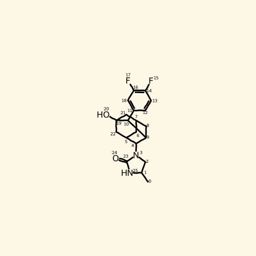 CC1CN(C2C3CC4CC2C(c2ccc(F)c(F)c2)C(O)(C4)C3)C(=O)N1